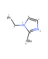 CCCCc1nccn1CC(C)C